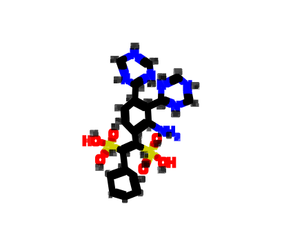 Nc1c(C(=C(c2ccccc2)S(=O)(=O)O)S(=O)(=O)O)ccc(-c2ncncn2)c1-c1ncncn1